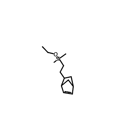 CCO[Si](C)(C)CCC1CC2C=CC1C2